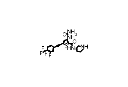 NC(=O)Nc1cc(C#Cc2ccc(C(F)(F)F)c(F)c2)sc1C(=O)N[C@H]1CCCNC1